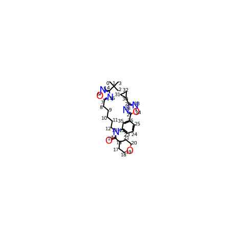 CC(C)(C)c1noc(CCCCCN(C(=O)C2CCOCC2)c2cccc(-c3nc(C4CC4)no3)c2)n1